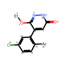 CCOc1n[nH]c(=O)cc1-c1cc(Cl)ccc1C(C)=O